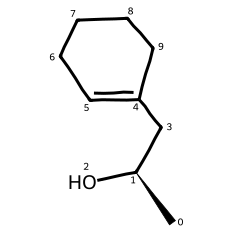 C[C@@H](O)CC1=CCCCC1